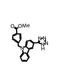 COC(=O)c1ccc(Cn2c3ccccc3c3cc(-c4nnn[nH]4)ccc32)cc1